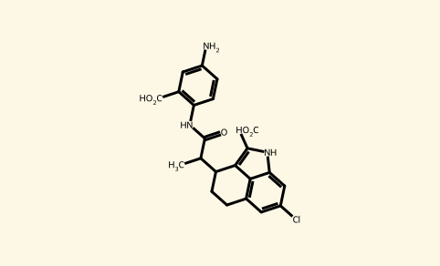 CC(C(=O)Nc1ccc(N)cc1C(=O)O)C1CCc2cc(Cl)cc3[nH]c(C(=O)O)c1c23